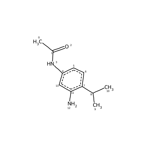 CC(=O)Nc1ccc(C(C)C)c(N)c1